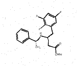 COC(=O)CC(Cc1cc(F)cc(F)c1F)N[C@H](C)c1ccccc1